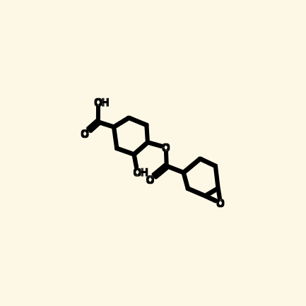 O=C(O)C1CCC(OC(=O)C2CCC3OC3C2)C(O)C1